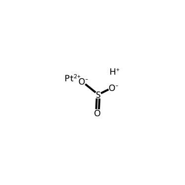 O=S([O-])[O-].[H+].[Pt+2]